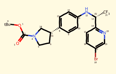 CC(C)(C)OC(=O)N1CC[C@@H](c2ccc(N[C@@H](c3ccc(Br)cn3)C(F)(F)F)cc2)C1